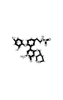 Cn1cc(-c2cc(CCN[SH](=O)=O)ccc2Oc2ccc(F)cc2F)c(OCC2CCNCC2)cc1=O